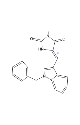 O=C1NC(=O)/C(=C/c2cn(Cc3ccccc3)c3ccccc23)N1